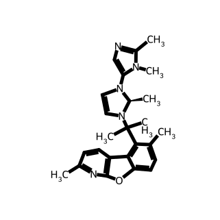 Cc1ccc2c(n1)oc1ccc(C)c(C(C)(C)N3C=CN(c4cnc(C)n4C)[C@H]3C)c12